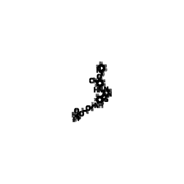 O=C(OCCOCCNc1ccc2c(c1)sc1ncnc(Nc3ccc(OCc4ccccn4)c(Cl)c3)c12)C(F)(F)F